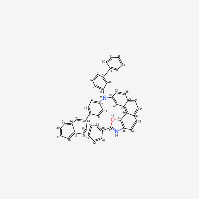 c1ccc(-c2cccc(N(c3ccc(-c4ccc5ccccc5c4)cc3)c3ccc4ccc5ccc6nc(-c7ccccc7)oc6c5c4c3)c2)cc1